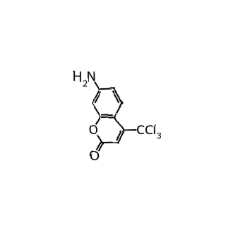 Nc1ccc2c(C(Cl)(Cl)Cl)cc(=O)oc2c1